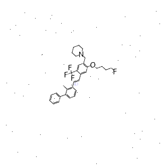 Cc1c(/C=C/c2cc(OCCCCF)c(CN3CCCCC3)cc2C(F)(F)F)cccc1-c1ccccc1